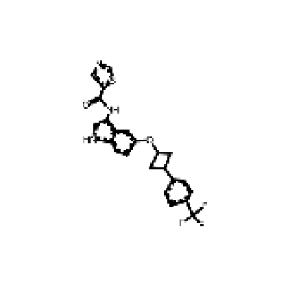 O=C(Nc1c[nH]c2ccc(OC3CC(c4ccc(C(F)(F)F)cc4)C3)cc12)c1cncs1